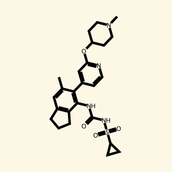 Cc1cc2c(c(NC(=O)NS(=O)(=O)C3CC3)c1-c1ccnc(OC3CCN(C)CC3)c1)CCC2